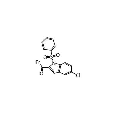 CC(C)C(=O)c1cc2cc(Cl)ccc2n1S(=O)(=O)c1ccccc1